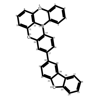 c1ccc2c(c1)Oc1cccc3c1B2c1ccc(-c2ccc4oc5ccccc5c4c2)cc1O3